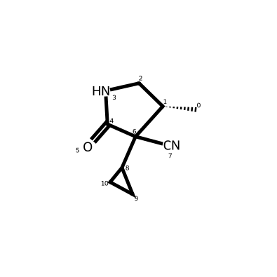 C[C@H]1CNC(=O)C1(C#N)C1CC1